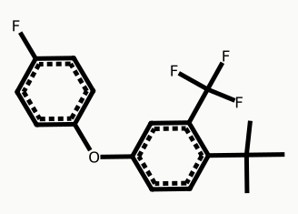 CC(C)(C)c1ccc(Oc2ccc(F)cc2)cc1C(F)(F)F